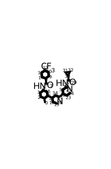 Cc1ccc(NC(=O)c2ccc(C(F)(F)F)cc2)cc1-c1ccnc(-c2ccnc(NC(=O)C3CC3)c2)c1